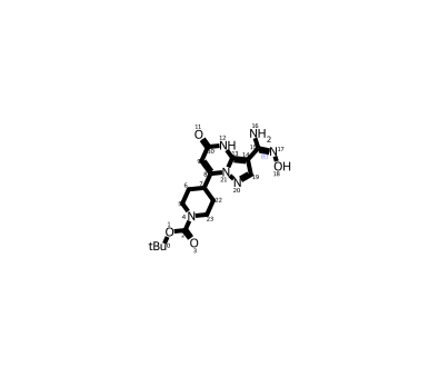 CC(C)(C)OC(=O)N1CCC(c2cc(=O)[nH]c3c(/C(N)=N\O)cnn23)CC1